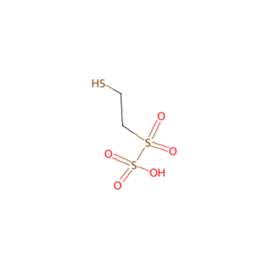 O=S(=O)(O)S(=O)(=O)CCS